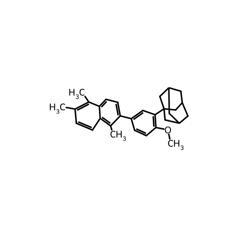 COc1ccc(-c2ccc3c(C)c(C)ccc3c2C)cc1C12CC3CC(CC(C3)C1)C2